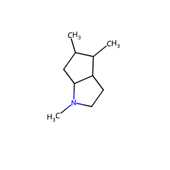 CC1CC2C(CCN2C)C1C